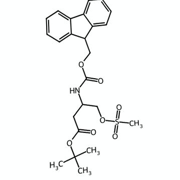 CC(C)(C)OC(=O)CC(COS(C)(=O)=O)NC(=O)OCC1c2ccccc2-c2ccccc21